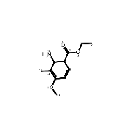 CCOC(=O)C1C=CC(OC)=C(C)C1N